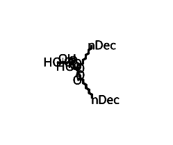 CCCCCCCCCCCCCCCCCCC(=O)OC[C@H](COP(=O)(O)OC[C@@H](O)CO)OC(=O)CCCCCCCCCCCCCCCCC